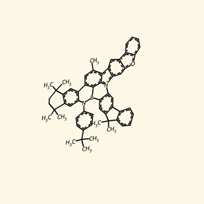 Cc1cc2c3c4c1c1cc5c(cc1n4-c1cc4c(cc1B3N(c1ccc(C(C)(C)C)cc1)c1cc3c(cc1-2)C(C)(C)CCC3(C)C)C(C)(C)c1ccccc1-4)oc1ccccc15